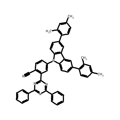 Cc1ccc(-c2ccc3c(c2)c2cc(-c4ccc(C)cc4C)ccc2n3-c2ccc(C#N)c(-c3nc(-c4ccccc4)nc(-c4ccccc4)n3)c2)c(C)c1